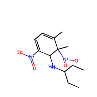 CCC(CC)NC1C([N+](=O)[O-])=CC=C(C)C1(C)[N+](=O)[O-]